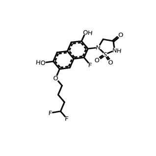 O=C1CN(c2c(O)cc3cc(O)c(OCCCC(F)F)cc3c2F)S(=O)(=O)N1